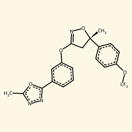 Cc1nnc(-c2cccc(OC3=NO[C@](C)(c4ccc(OC(F)(F)F)cc4)C3)c2)o1